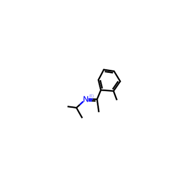 C/C(=N\C(C)C)c1ccccc1C